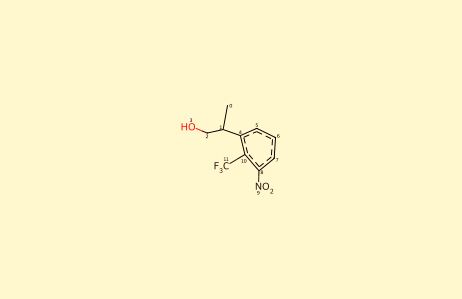 C[C](CO)c1cccc([N+](=O)[O-])c1C(F)(F)F